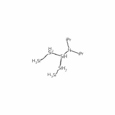 CC(C)N(C(C)C)[SiH]([SiH2][SiH3])[SiH2][SiH3]